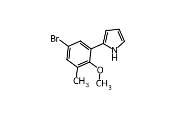 COc1c(C)cc(Br)cc1-c1ccc[nH]1